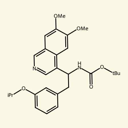 COc1cc2cncc(C(Cc3cccc(OC(C)C)c3)NC(=O)OC(C)(C)C)c2cc1OC